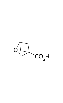 O=C(O)C12COC(C1)C2